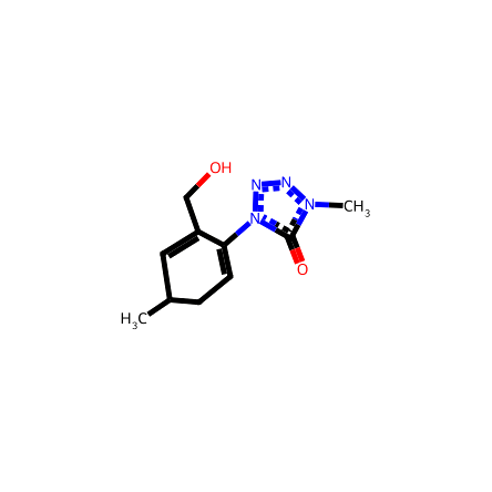 CC1C=C(CO)C(n2nnn(C)c2=O)=CC1